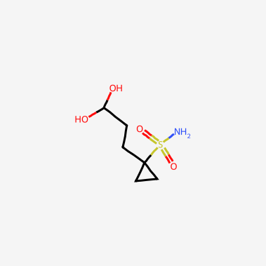 NS(=O)(=O)C1(CCC(O)O)CC1